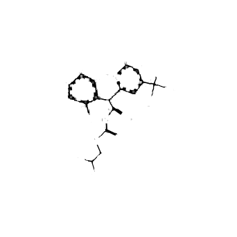 O=C(NCC(F)F)NC(=O)C(c1cc(C(F)(F)F)ccn1)c1ccccc1F